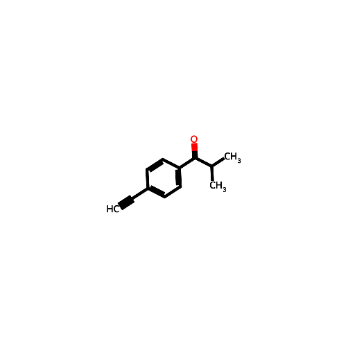 C#Cc1ccc(C(=O)C(C)C)cc1